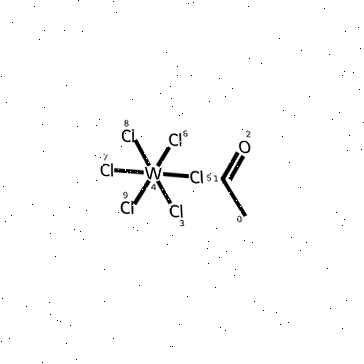 C[C]=O.[Cl][W]([Cl])([Cl])([Cl])([Cl])[Cl]